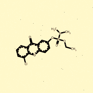 CCOP(=O)(Oc1ccc2oc3c(Cl)cccc3c(=O)c2c1)N(C)C